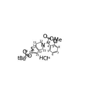 COC(=O)[C@H](c1ccccc1Cl)N1CCc2sc(OC(=O)C(C)(C)C)cc2C1.Cl